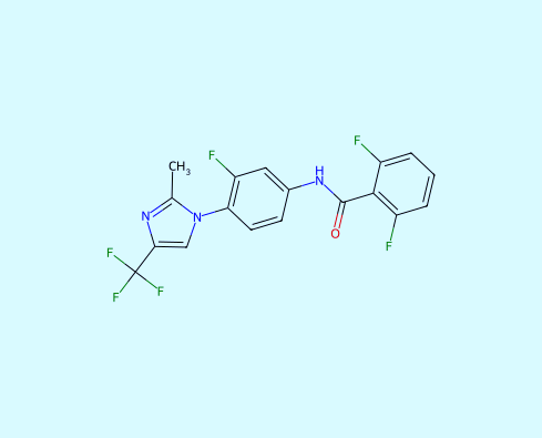 Cc1nc(C(F)(F)F)cn1-c1ccc(NC(=O)c2c(F)cccc2F)cc1F